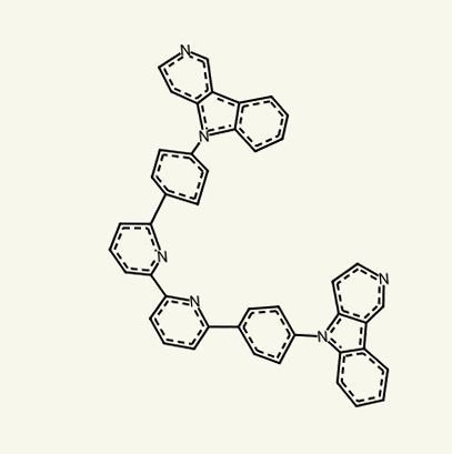 c1cc(-c2ccc(-n3c4ccccc4c4cnccc43)cc2)nc(-c2cccc(-c3ccc(-n4c5ccccc5c5cnccc54)cc3)n2)c1